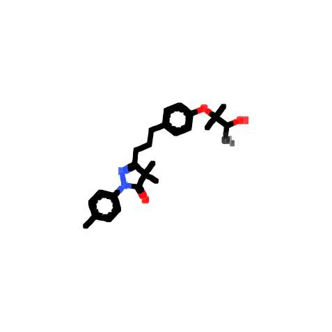 Cc1ccc(N2N=C(CCCc3ccc(OC(C)(C)C(O)C(F)(F)F)cc3)C(C)(C)C2=O)cc1